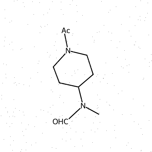 CC(=O)N1CCC(N(C)C=O)CC1